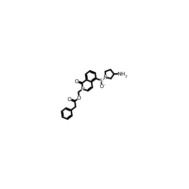 NC1CCN([S+]([O-])c2cccc3c(=O)n(COC(=O)Cc4ccccc4)ccc23)C1